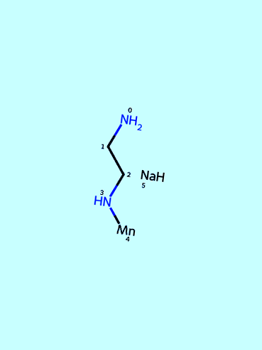 NCC[NH][Mn].[NaH]